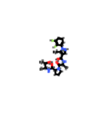 Cc1c(C(=O)N[C@H](C(=O)N2CCC[C@H]2C(=O)N[C@H](C(=O)C(F)(F)F)C(C)C)C(C)C)cnn1-c1cccc(F)c1F